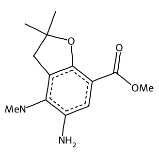 CNc1c(N)cc(C(=O)OC)c2c1CC(C)(C)O2